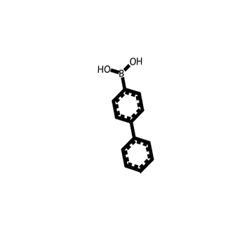 OB(O)c1ccc(-c2cc[c]cc2)cc1